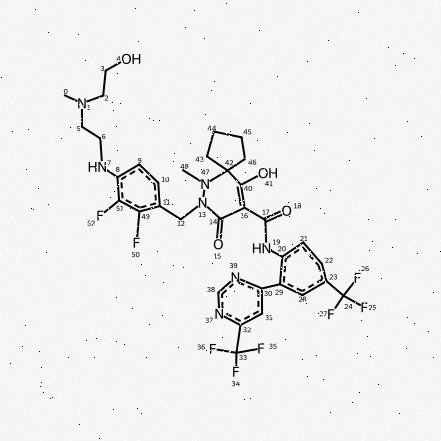 CN(CCO)CCNc1ccc(CN2C(=O)C(C(=O)Nc3ccc(C(F)(F)F)cc3-c3cc(C(F)(F)F)ncn3)=C(O)C3(CCCC3)N2C)c(F)c1F